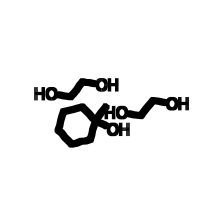 CC1(O)CCCCC1.OCCO.OCCO